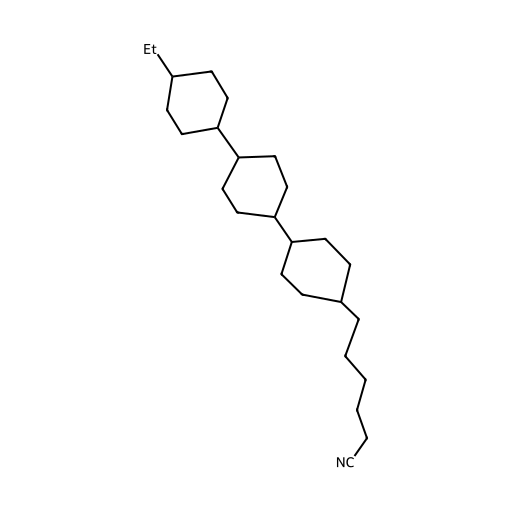 CCC1CCC(C2CCC(C3CCC(CCCCCC#N)CC3)CC2)CC1